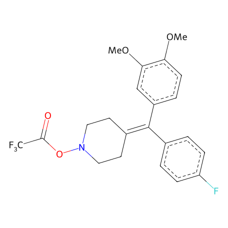 COc1ccc(C(=C2CCN(OC(=O)C(F)(F)F)CC2)c2ccc(F)cc2)cc1OC